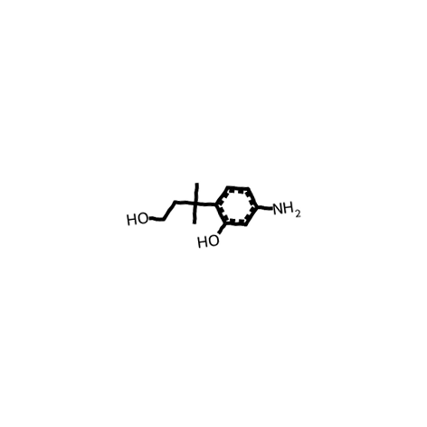 CC(C)(CCO)c1ccc(N)cc1O